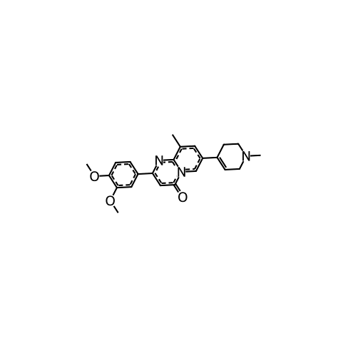 COc1ccc(-c2cc(=O)n3cc(C4=CCN(C)CC4)cc(C)c3n2)cc1OC